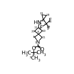 CC(C)(C)OC(=O)N1CC2(CC(NC3(C(F)(F)F)CC3)C2)C1